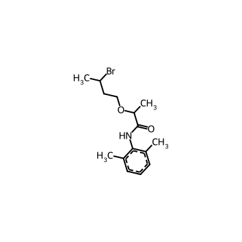 Cc1cccc(C)c1NC(=O)C(C)OCCC(C)Br